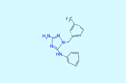 Nc1nc(Nc2ccccc2)n(Cc2cccc(C(F)(F)F)c2)n1